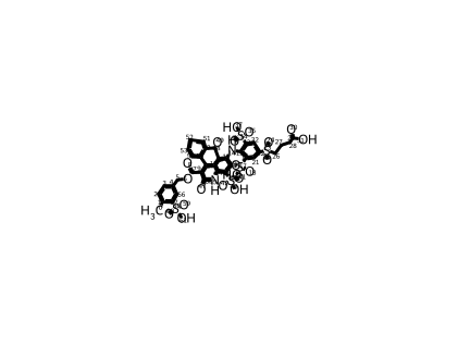 Cc1ccc(COC(=O)c2c3c4c(c(Nc5c(S(=O)(=O)O)cc(S(=O)(=O)CCCC(=O)O)cc5S(=O)(=O)O)cc(S(=O)(=O)O)c4[nH]c2=O)C(=O)c2ccccc2-3)cc1S(=O)(=O)O